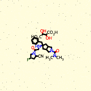 CN(C)C(=O)N1CC2CC(Cc3ccccc3)(NCC(=O)N3CC(F)CC3C#N)CC2C1.O=C(O)C(O)C(O)C(=O)O